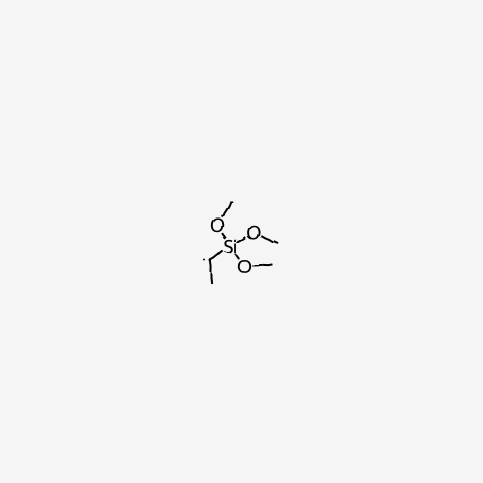 C[CH][Si](OC)(OC)OC